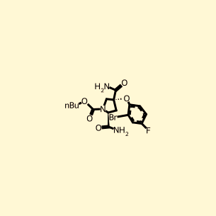 CCCCOC(=O)N1C[C@@](Oc2ccc(F)cc2Br)(C(N)=O)C[C@H]1C(N)=O